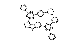 C1=CC(c2ccc(-c3nc(-c4ccccc4)nc(-c4cccc5sc6cc(-c7nc(-c8ccccc8)nc(-c8ccccc8)n7)ccc6c45)n3)cc2)=CCC1